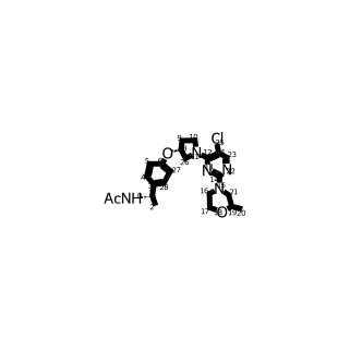 CC(=O)N[C@@H](C)c1ccc(O[C@@H]2CCN(c3nc(N4CCOC(C)C4)ncc3Cl)C2)cc1